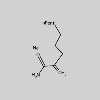 C=C(CCCCCCCC)C(N)=O.[Na]